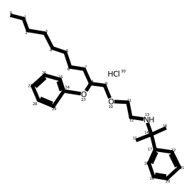 CCCCCCCCC(COCCNC(C)(C)c1ccccc1)Oc1ccccc1.Cl